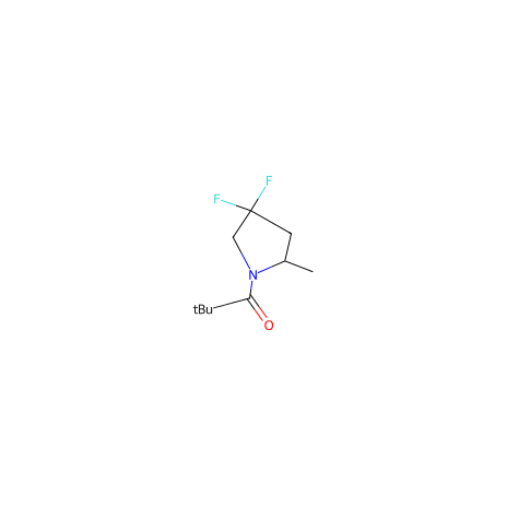 CC1CC(F)(F)CN1C(=O)C(C)(C)C